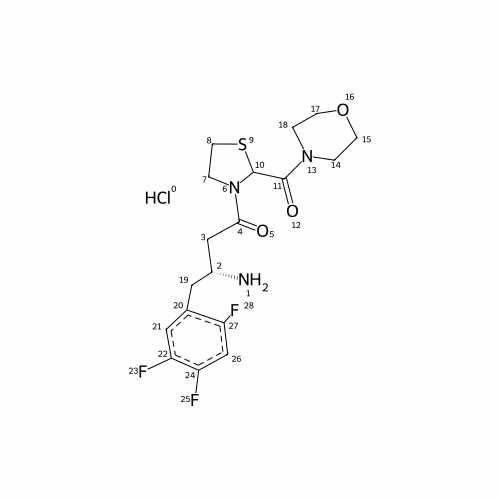 Cl.N[C@@H](CC(=O)N1CCSC1C(=O)N1CCOCC1)Cc1cc(F)c(F)cc1F